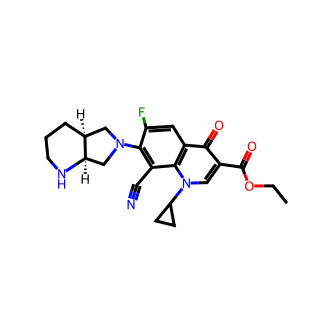 CCOC(=O)c1cn(C2CC2)c2c(C#N)c(N3C[C@@H]4CCCN[C@@H]4C3)c(F)cc2c1=O